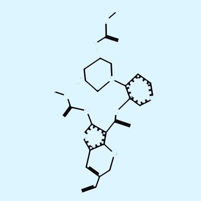 C=CC1=Cc2oc(NC(=O)OC(C)(C)C)c(C(=O)Nc3cnccc3N3C[C@@H](NC(=O)OC(C)(C)C)C[C@@H](C(F)(F)F)C3)c2NC1